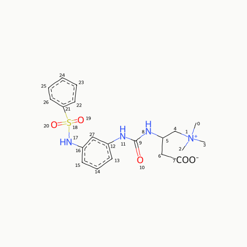 C[N+](C)(C)CC(CC(=O)[O-])NC(=O)Nc1cccc(NS(=O)(=O)c2ccccc2)c1